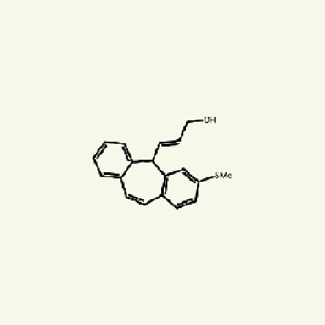 CSc1ccc2c(c1)C(C=CCO)c1ccccc1C=C2